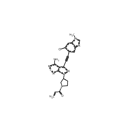 C=CC(=O)N1CCC(n2nc(C#Cc3cc4ncn(C)c4cc3Cl)c3c(N)ncnc32)C1